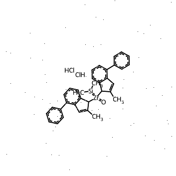 CC1=Cc2c(-c3ccccc3)cccc2[CH]1[Zr](=[O])([CH]1C(C)=Cc2c(-c3ccccc3)cccc21)=[Si](C)C.Cl.Cl